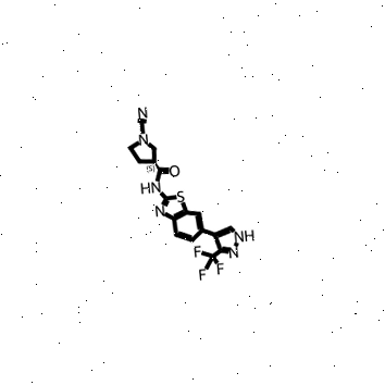 N#CN1CC[C@H](C(=O)Nc2nc3ccc(-c4c[nH]nc4C(F)(F)F)cc3s2)C1